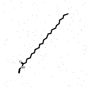 C=CNC(=O)CCCCCCCCCCCCCCCCCCCCC